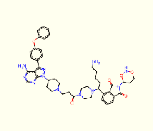 NCCCCC(c1cccc2c1C(=O)N(C1CCONO1)C2=O)N1CCN(C(=O)CCN2CCC(n3nc(-c4ccc(Oc5ccccc5)cc4)c4c(N)ncnc43)CC2)CC1